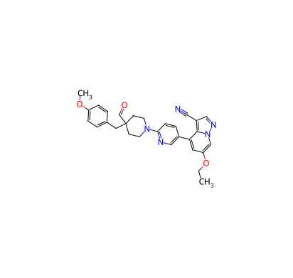 CCOc1cc(-c2ccc(N3CCC(C=O)(Cc4ccc(OC)cc4)CC3)nc2)c2c(C#N)cnn2c1